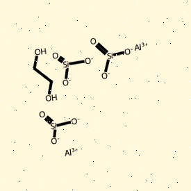 O=[Si]([O-])[O-].O=[Si]([O-])[O-].O=[Si]([O-])[O-].OCCO.[Al+3].[Al+3]